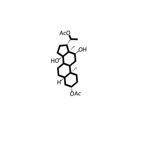 CC(=O)OC(C)[C@H]1CC[C@]2(O)C3CC[C@@H]4C[C@@H](OC(C)=O)CC[C@]4(C)C3C[C@@H](O)[C@]12C